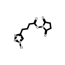 CCn1cc(CCCC(=O)ON2C(=O)CCC2=O)nn1